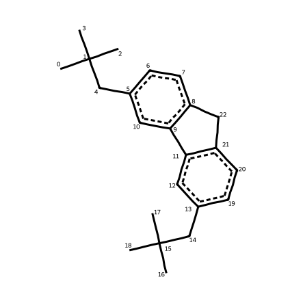 CC(C)(C)Cc1ccc2c(c1)-c1cc(CC(C)(C)C)ccc1C2